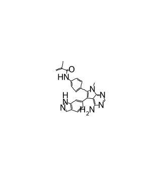 C=C(C)C(=O)Nc1ccc(-c2c(-c3ccc4cn[nH]c4c3)c3c(N)ncnc3n2C)cc1